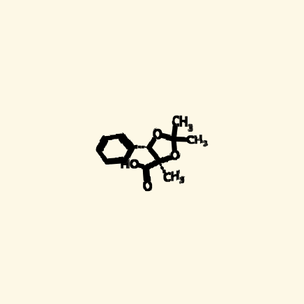 CC1(C)O[C@@H](c2ccccc2)[C@](C)(C(=O)O)O1